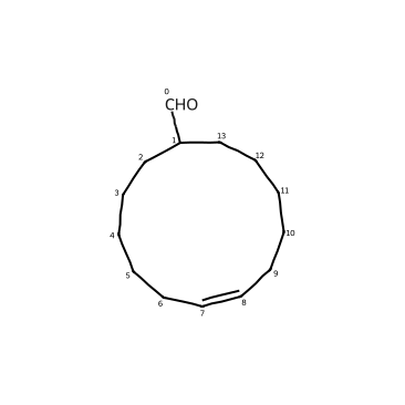 O=CC1CCCCCC=CCCCCC1